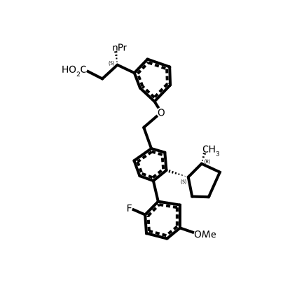 CCC[C@@H](CC(=O)O)c1cccc(OCc2ccc(-c3cc(OC)ccc3F)c([C@H]3CCC[C@H]3C)c2)c1